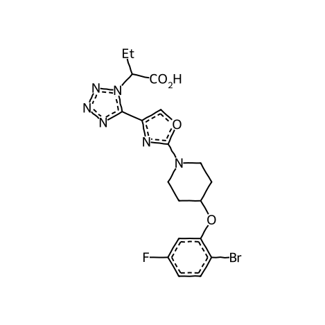 CCC(C(=O)O)n1nnnc1-c1coc(N2CCC(Oc3cc(F)ccc3Br)CC2)n1